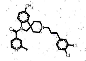 Cc1ccc2c(c1)C1(CCN(C/C=C/c3ccc(Cl)c(Cl)c3)CC1)CN2C(=O)c1ccnc(F)c1